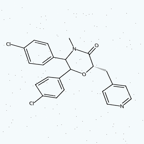 CN1C(=O)[C@H](Cc2ccncc2)OC(c2ccc(Cl)cc2)C1c1ccc(Cl)cc1